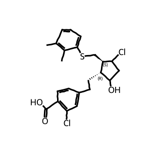 Cc1cccc(SC[C@H]2C(Cl)CC(O)[C@@H]2CCc2ccc(C(=O)O)c(Cl)c2)c1C